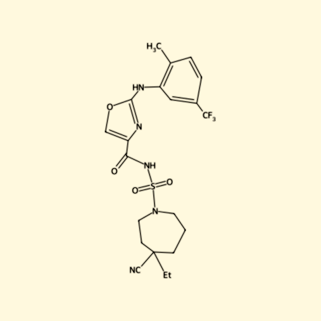 CCC1(C#N)CCCN(S(=O)(=O)NC(=O)c2coc(Nc3cc(C(F)(F)F)ccc3C)n2)CC1